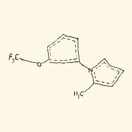 Cc1cccn1-c1cccc(OC(F)(F)F)c1